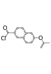 C=C(C)Oc1ccc2cc(C(=O)Cl)ccc2c1